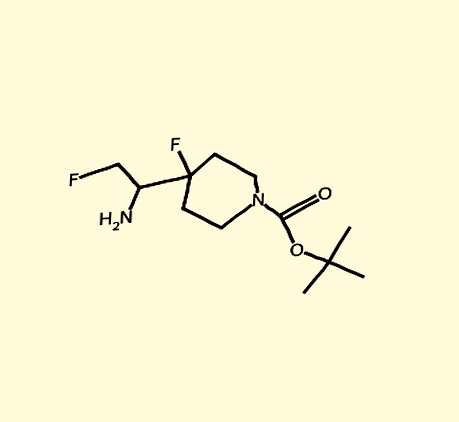 CC(C)(C)OC(=O)N1CCC(F)(C(N)CF)CC1